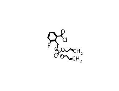 C=CCOP(=O)(OCC=C)OCc1c(F)cccc1C(=O)Cl